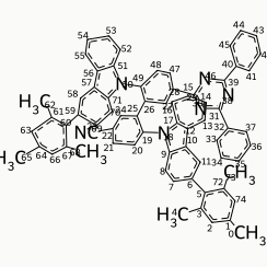 Cc1cc(C)c(-c2ccc3c(c2)c2ccccc2n3-c2ccc(C#N)cc2-c2cc(-c3nc(-c4ccccc4)nc(-c4ccccc4)n3)ccc2-n2c3ccccc3c3cc(-c4c(C)cc(C)cc4C)ccc32)c(C)c1